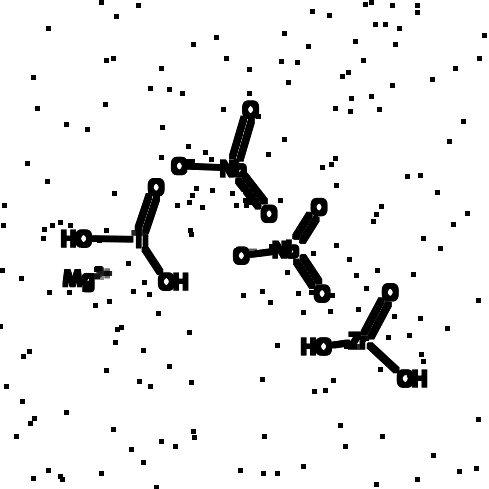 [Mg+2].[O]=[Nb](=[O])[O-].[O]=[Nb](=[O])[O-].[O]=[Ti]([OH])[OH].[O]=[Zr]([OH])[OH]